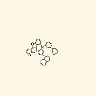 c1ccc(-c2cccc(N(c3cccc(-c4cccc5ccccc45)c3)c3cccc4oc5c6cccnc6ccc5c34)c2)cc1